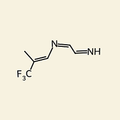 C/C(=C\N=C/C=N)C(F)(F)F